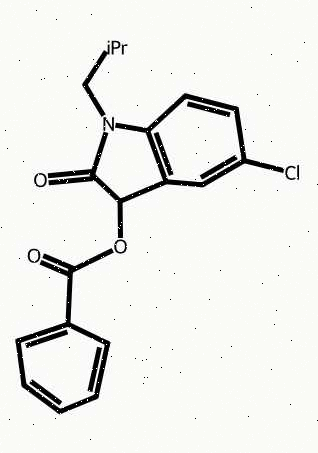 CC(C)CN1C(=O)C(OC(=O)c2ccccc2)c2cc(Cl)ccc21